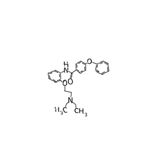 CCN(CC)CCOc1ccccc1NC(=O)c1ccc(Oc2ccccc2)cc1